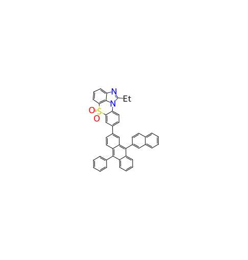 CCc1nc2cccc3c2n1-c1ccc(-c2ccc4c(-c5ccccc5)c5ccccc5c(-c5ccc6ccccc6c5)c4c2)cc1S3(=O)=O